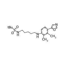 Cc1c(NCCCCCNS(=O)(=O)C(C)(C)C)ccc(-c2cnco2)c1C